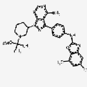 COC(C)(C)N1CCCC(n2nc(-c3ccc(Nc4nc5cc(C)cc(C)c5o4)cc3)c3c(N)ncnc32)C1